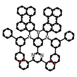 c1ccc(-c2cc(-c3ccccc3)cc(N3c4cc(-c5nc(-c6ccccc6)cc(-c6ccccc6)n5)cc5c4B(c4cc6c7cccc8cccc(c9cccc(c43)c96)c87)c3cc4c6cccc7cccc(c8cccc(c3N5c3cc(-c5ccccc5)cc(-c5ccccc5)c3)c84)c76)c2)cc1